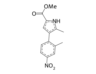 COC(=O)c1cc(-c2ccc([N+](=O)[O-])cc2C)c(C)[nH]1